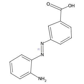 Nc1ccccc1/N=N/c1cccc(C(=O)O)c1